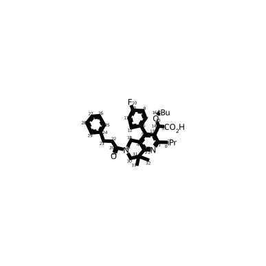 CC(C)c1nc2c(c(-c3ccc(F)cc3)c1C(OC(C)(C)C)C(=O)O)CN(C(=O)CCc1ccccc1)CC2(C)C